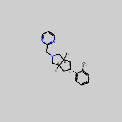 FC(F)(F)c1ccccc1[C@@H]1C[C@@H]2CN(Cc3ncccn3)C[C@@H]2C1